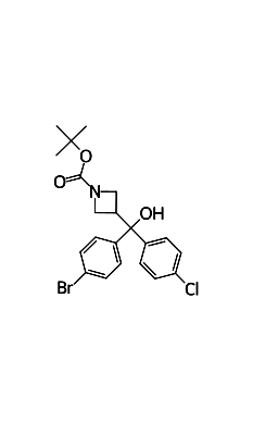 CC(C)(C)OC(=O)N1CC(C(O)(c2ccc(Cl)cc2)c2ccc(Br)cc2)C1